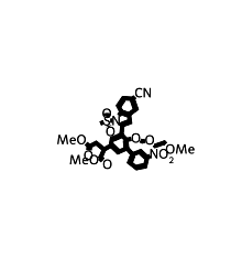 COCCOCOc1c(-c2cccc([N+](=O)[O-])c2)cc(C(CC(=O)OC)C(=O)OC)cc1-c1cc2cc(C#N)ccc2n1S(C)(=O)=O